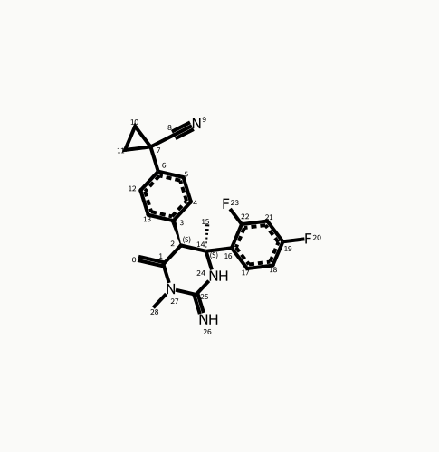 C=C1[C@@H](c2ccc(C3(C#N)CC3)cc2)[C@@](C)(c2ccc(F)cc2F)NC(=N)N1C